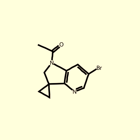 CC(=O)N1CC2(CC2)c2ncc(Br)cc21